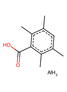 Cc1cc(C)c(C)c(C(=O)O)c1C.[AlH3]